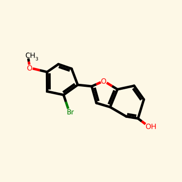 COc1ccc(-c2cc3cc(O)ccc3o2)c(Br)c1